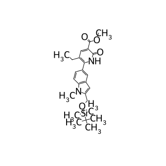 CCc1cc(C(=O)OC)c(=O)[nH]c1-c1ccc2c(c1)cc(CO[Si](C)(C)C(C)(C)C)n2C